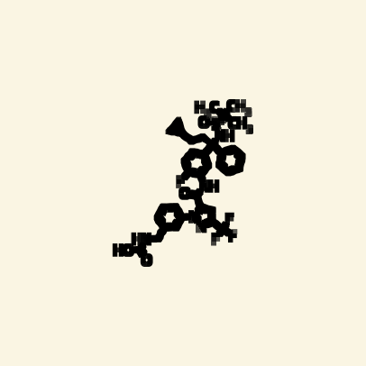 CC(C)(C)[S@@+]([O-])N[C@](CCC1CC1)(c1ccccc1)c1ccc(F)c(NC(=O)c2cc(C(F)(F)F)nn2-c2cccc(CNC(=O)O)c2)c1